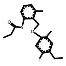 CCC(=O)Sc1cccc(C)c1COc1cc(I)c(CC)cc1C